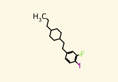 CCCC1CCC(CCc2ccc(I)c(F)c2)CC1